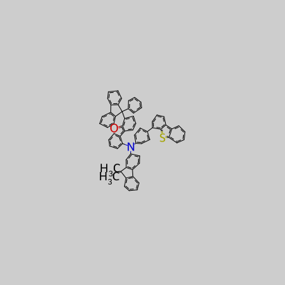 CC1(C)c2ccccc2-c2ccc(N(c3ccc(-c4cccc5c4sc4ccccc45)cc3)c3cccc4oc5c(C6(c7ccccc7)c7ccccc7-c7ccccc76)cccc5c34)cc21